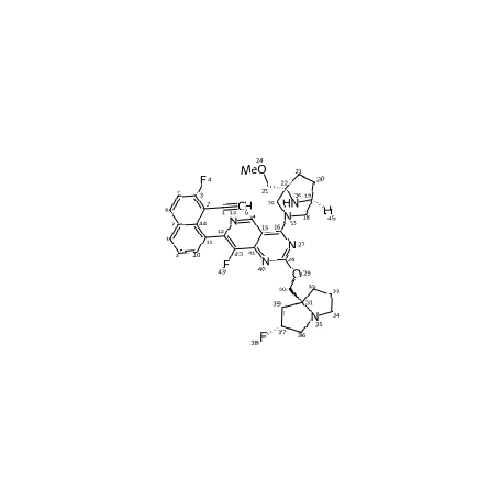 C#Cc1c(F)ccc2cccc(-c3ncc4c(N5C[C@@H]6CC[C@](COC)(C5)N6)nc(OC[C@@]56CCCN5C[C@H](F)C6)nc4c3F)c12